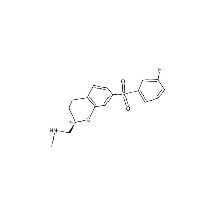 CNC[C@H]1CCc2ccc(S(=O)(=O)c3cccc(F)c3)cc2O1